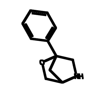 c1ccc(C23CNC(CO2)C3)cc1